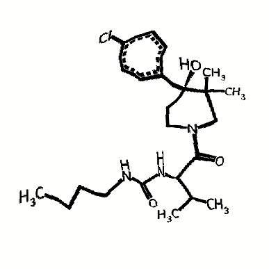 CCCCNC(=O)N[C@@H](C(=O)N1CC[C@](O)(c2ccc(Cl)cc2)C(C)(C)C1)C(C)C